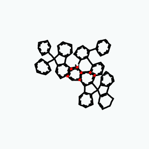 C1=CC2=C(CC1)c1ccccc1C21c2ccccc2-c2cc(N(c3cccc(-c4ccccc4)c3-c3ccccc3-c3ccccc3)c3cccc4c3-c3ccccc3C4(c3ccccc3)c3ccccc3)ccc21